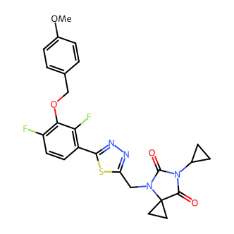 COc1ccc(COc2c(F)ccc(-c3nnc(CN4C(=O)N(C5CC5)C(=O)C45CC5)s3)c2F)cc1